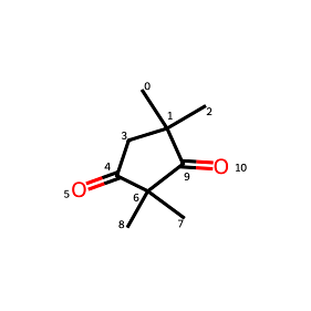 CC1(C)CC(=O)C(C)(C)C1=O